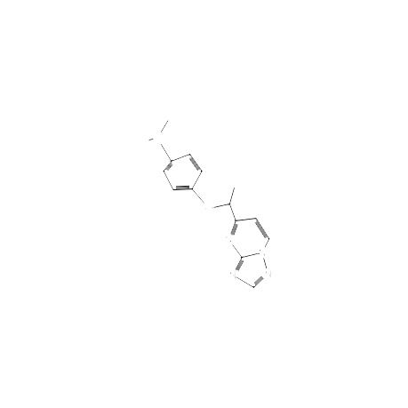 CC(Oc1ccc([S+](C)[O-])cc1)c1ccn2ncnc2n1